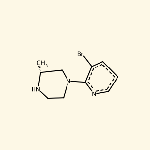 C[C@@H]1CN(c2ncccc2Br)CCN1